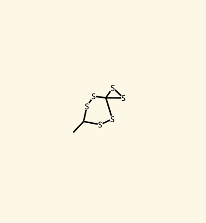 CC1SSC2(SS1)SS2